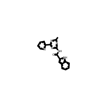 Cc1nc(NC(=O)c2cc3ccccc3[nH]2)nc(-c2ccccn2)n1